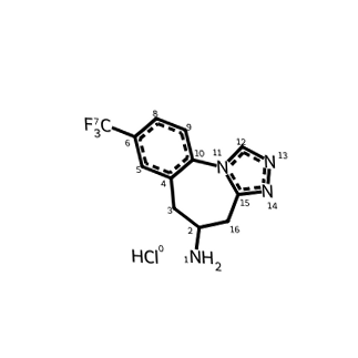 Cl.NC1Cc2cc(C(F)(F)F)ccc2-n2cnnc2C1